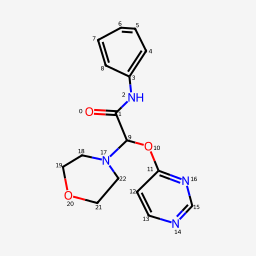 O=C(Nc1ccccc1)C(Oc1ccncn1)N1CCOCC1